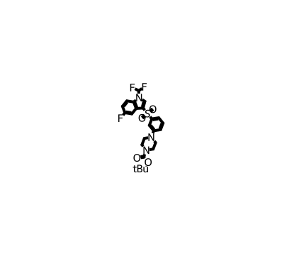 CC(C)(C)OC(=O)N1CCN(c2cccc(S(=O)(=O)c3cn(C(F)F)c4ccc(F)cc34)c2)CC1